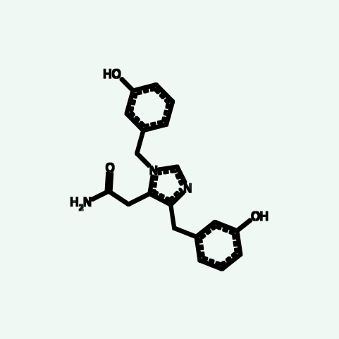 NC(=O)Cc1c(Cc2cccc(O)c2)ncn1Cc1cccc(O)c1